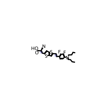 CCCCN(CCCC)c1ccc(/C=C/c2cc3sc(/C=C(\C#N)C(=O)O)cc3s2)c(F)c1F